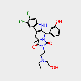 CCN(CCO)CCN1C(=O)N2C(c3cccc(O)c3)c3[nH]c4cc(F)c(Cl)cc4c3CC2(C)C1=O